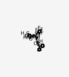 Cc1cn(C2C[C@@H](C(=O)Oc3c(F)c(F)c(F)c(F)c3F)N(C(=O)CNC(=O)OCC3c4ccccc4-c4ccccc43)C2)c(=O)[nH]c1=O